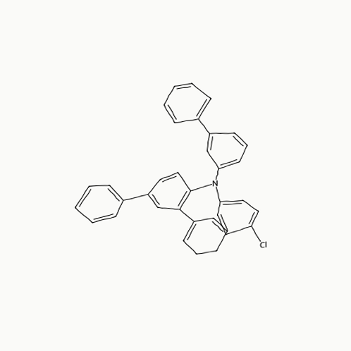 Clc1ccc(N(c2cccc(-c3ccccc3)c2)c2ccc(-c3ccccc3)cc2C2=CCCC=C2)cc1